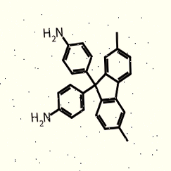 Cc1ccc2c(c1)-c1ccc(C)cc1C2(c1ccc(N)cc1)c1ccc(N)cc1